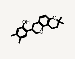 Cc1cc(O)c(C2COc3c(ccc4c3CCC(C)(C)O4)C2)cc1C